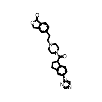 O=C1OCc2cc(CCN3CCN(C(=O)C4CCc5cc(-n6cncn6)ccc54)CC3)ccc21